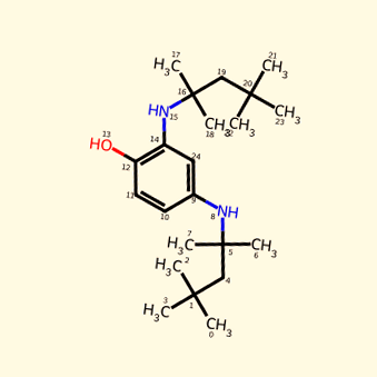 CC(C)(C)CC(C)(C)Nc1ccc(O)c(NC(C)(C)CC(C)(C)C)c1